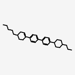 CCCCCC1CC=C(c2ccc(-c3ccc(C4CCC(CCC)CC4)cc3)cc2)CC1